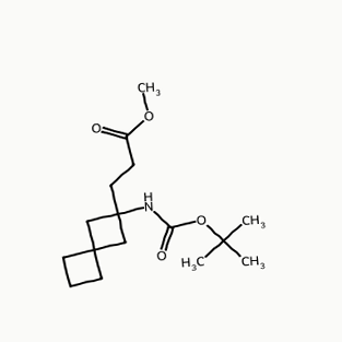 COC(=O)CCC1(NC(=O)OC(C)(C)C)CC2(CCC2)C1